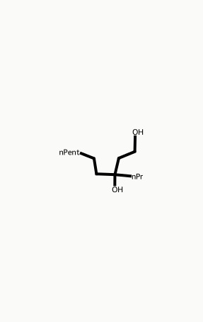 CCCCCCCC(O)(CCC)CCO